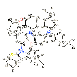 Cc1cc2c3c(c1)-n1c4sc5ccccc5c4c4cc(C(C)(C)C)cc(c41)B3c1ccc(N(c3ccc(C(C)(C)C)cc3)c3ccc(C(C)(C)C)cc3)cc1N2c1cccc2oc3ccccc3c12